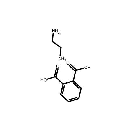 NCCN.O=C(O)c1ccccc1C(=O)O